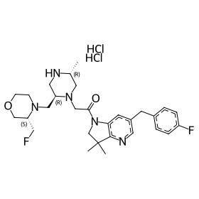 C[C@@H]1CN(CC(=O)N2CC(C)(C)c3ncc(Cc4ccc(F)cc4)cc32)[C@@H](CN2CCOC[C@H]2CF)CN1.Cl.Cl